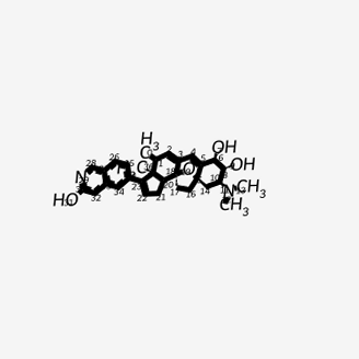 CC1C=C2C=C3[C@@H](O)[C@H](O)[C@@H](N(C)C)C[C@]34CC[C@]2(O4)C2CC=C(c3ccc4cnc(O)cc4c3)[C@@]12C